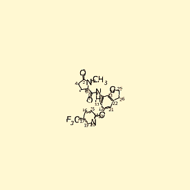 CN1C(=O)CC[C@@H]1C(=O)Nc1cc(Oc2ccc(C(F)(F)F)cn2)cc2c1OCC2